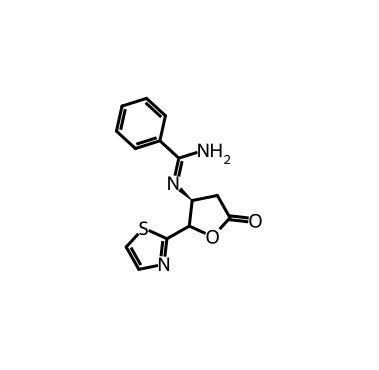 NC(=N[C@H]1CC(=O)OC1c1nccs1)c1ccccc1